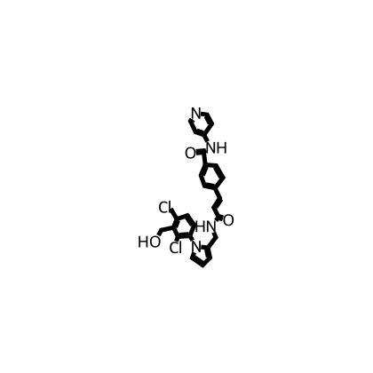 O=C(/C=C/c1ccc(C(=O)Nc2ccncc2)cc1)NCc1cccn1-c1ccc(Cl)c(CO)c1Cl